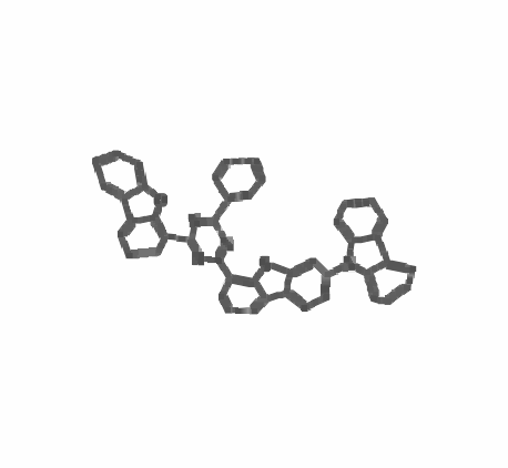 c1ccc(-c2nc(-c3cccc4c3oc3ccccc34)nc(-c3cccc4c3sc3cc(-n5c6ccccc6c6ccccc65)ccc34)n2)cc1